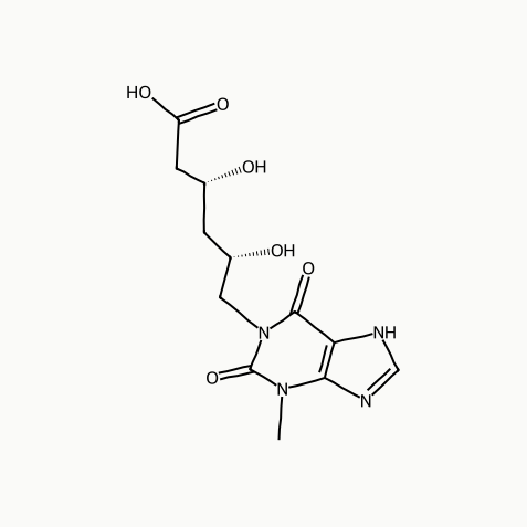 Cn1c(=O)n(C[C@@H](O)C[C@@H](O)CC(=O)O)c(=O)c2[nH]cnc21